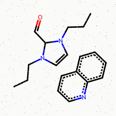 CCCN1C=CN(CCC)C1C=O.c1ccc2ncccc2c1